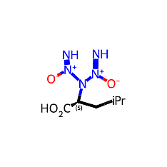 CC(C)C[C@@H](C(=O)O)N([N+](=N)[O-])[N+](=N)[O-]